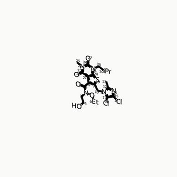 CCON(CCO)C(=O)c1c(Cn2c(C)nc(Cl)c2Cl)sc2c1c(=O)n(C)c(=O)n2CC(C)C